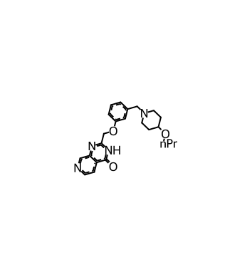 CCCOC1CCN(Cc2cccc(OCc3nc4cnccc4c(=O)[nH]3)c2)CC1